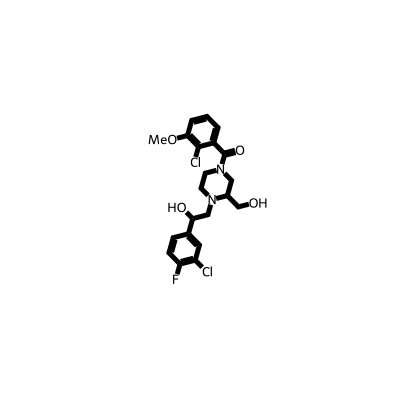 COc1cccc(C(=O)N2CCN(CC(O)c3ccc(F)c(Cl)c3)C(CO)C2)c1Cl